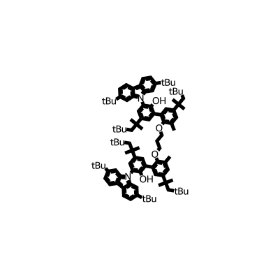 Cc1cc(C(C)(C)CC(C)(C)C)cc(-c2cc(C(C)(C)CC(C)(C)C)cc(-n3c4cc(C(C)(C)C)ccc4c4ccc(C(C)(C)C)cc43)c2O)c1OCCCOc1c(C)cc(C(C)(C)CC(C)(C)C)cc1-c1cc(C(C)(C)CC(C)(C)C)cc(-n2c3cc(C(C)(C)C)ccc3c3ccc(C(C)(C)C)cc32)c1O